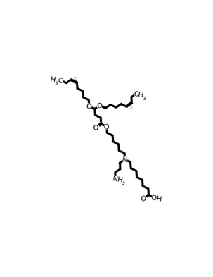 CC/C=C\CCCCOC(CCC(=O)OCCCCCCN(CCCN)CCCCCCCC(=O)O)OCCCC/C=C\CC